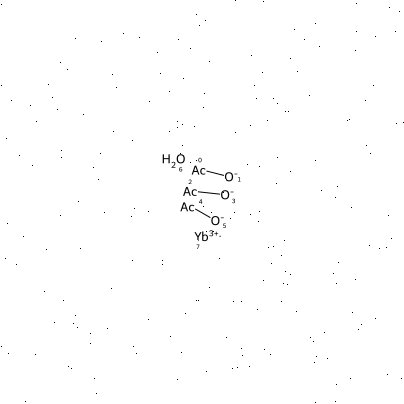 CC(=O)[O-].CC(=O)[O-].CC(=O)[O-].O.[Yb+3]